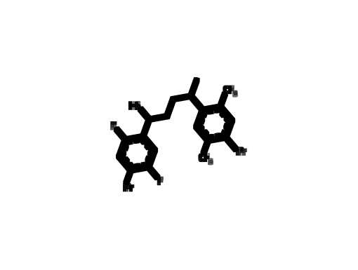 CC(C)c1cc(F)c(C(S)CCC(C)c2cc(C(F)(F)F)c(C(C)C)cc2C(F)(F)F)cc1F